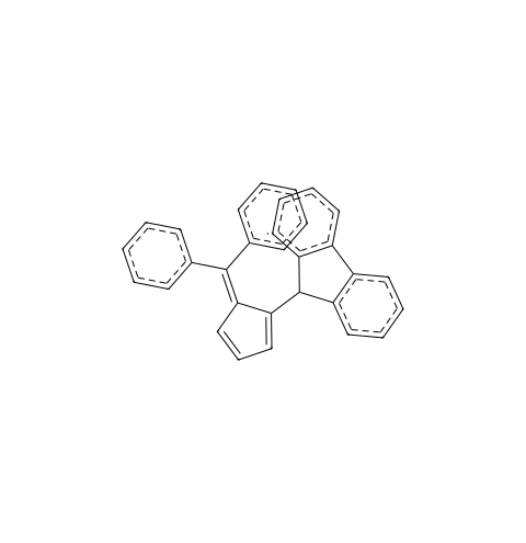 [c]1cccc2c1C(C1=CC=CC1=C(c1ccccc1)c1ccccc1)c1ccccc1-2